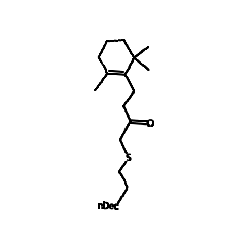 CCCCCCCCCCCCSCC(=O)CCC1=C(C)CCCC1(C)C